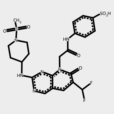 CS(=O)(=O)N1CCC(Nc2ncc3cc(C(F)F)c(=O)n(CC(=O)Nc4ccc(S(=O)(=O)O)cc4)c3n2)CC1